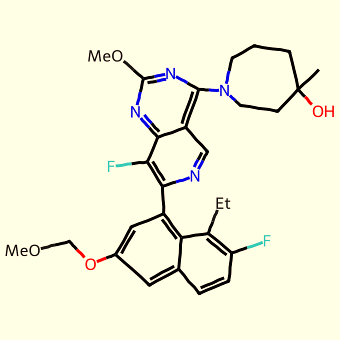 CCc1c(F)ccc2cc(OCOC)cc(-c3ncc4c(N5CCCC(C)(O)CC5)nc(OC)nc4c3F)c12